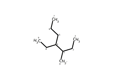 [CH2]C(CC)C([CH]CC)CC